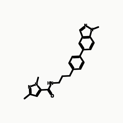 Cc1cc(C(=O)NCCCc2ccc(-c3ccc4c(cnn4C)c3)cc2)n(C)n1